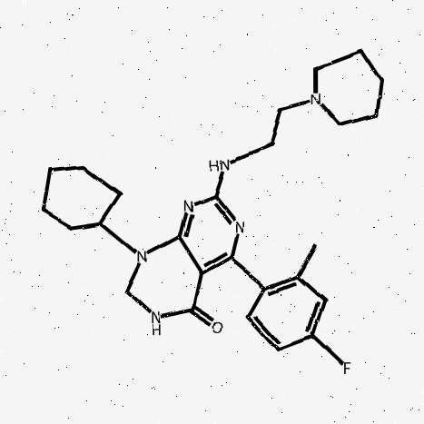 Cc1cc(F)ccc1-c1nc(NCCN2CCCCC2)nc2c1C(=O)NCN2C1CCCCC1